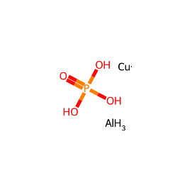 O=P(O)(O)O.[AlH3].[Cu]